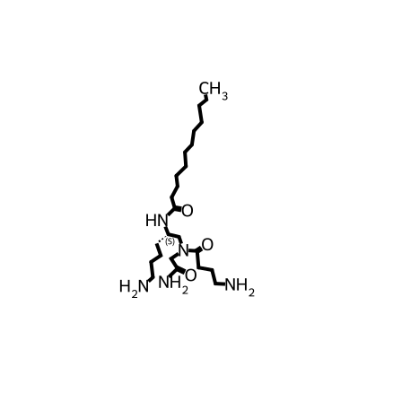 CCCCCCCCCCCC(=O)N[C@@H](CCCCN)CN(CC(N)=O)C(=O)CCCN